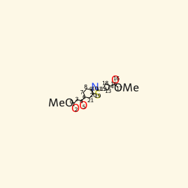 COC(=O)CC(=O)C1CCc2nc([C@H]3C[C@H](C(=O)OC)C3)sc2C1